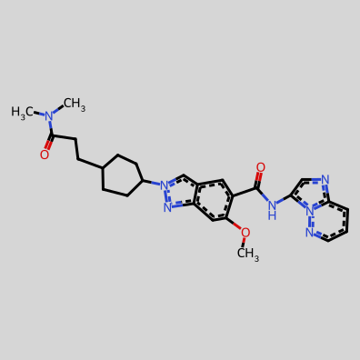 COc1cc2nn(C3CCC(CCC(=O)N(C)C)CC3)cc2cc1C(=O)Nc1cnc2cccnn12